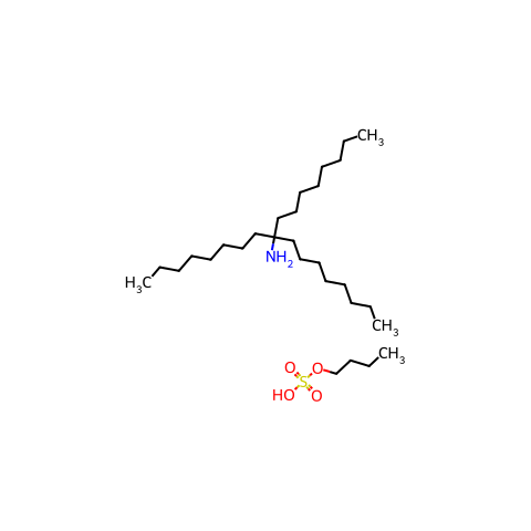 CCCCCCCCC(N)(CCCCCCCC)CCCCCCCC.CCCCOS(=O)(=O)O